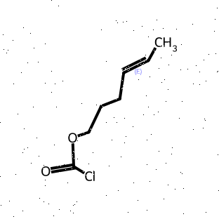 C/C=C/CCCOC(=O)Cl